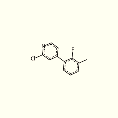 Cc1cccc(-c2ccnc(Cl)c2)c1F